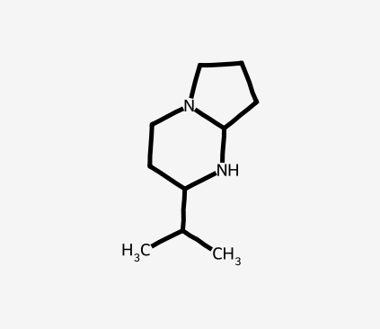 CC(C)C1CCN2CCCC2N1